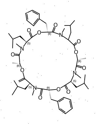 C=C1O[C@H](C)C(=O)N(C)[C@@H](CC(C)C)C(=O)O[C@H](Cc2ccccc2)C(=O)N(C)C(CC(C)C)C(=O)O[C@H](C)C(=O)N(C)[C@@H](CC(C)C)C(=O)O[C@H](Cc2ccccc2)C(=O)N(C)[C@H]1CC(C)C